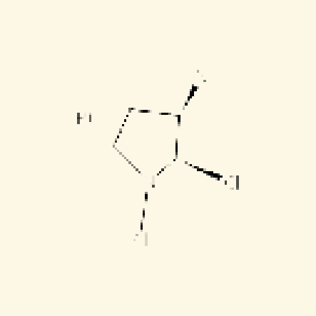 N[C@@H]1CCN(Cl)[C@@H]1Cl.[Pt]